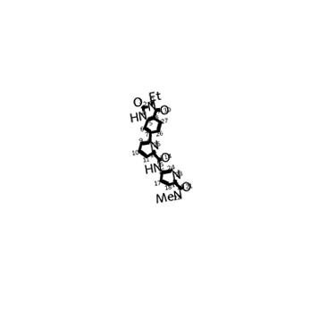 CCn1c(=O)[nH]c2cc(-c3cccc(C(=O)Nc4ccc(C(=O)NC)nc4)n3)ccc2c1=O